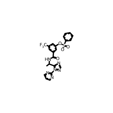 CC(NC(=O)c1cc(OS(=O)(=O)c2ccccc2)cc(C(F)(F)F)c1)c1ncnn1-c1ncccn1